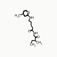 CCC(C)C(=O)CNC(=O)CCCCNc1cc(C)ccn1